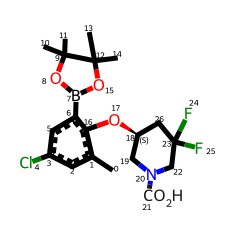 Cc1cc(Cl)cc(B2OC(C)(C)C(C)(C)O2)c1O[C@@H]1CN(C(=O)O)CC(F)(F)C1